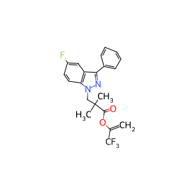 C=C(OC(=O)C(C)(C)Cn1nc(-c2ccccc2)c2cc(F)ccc21)C(F)(F)F